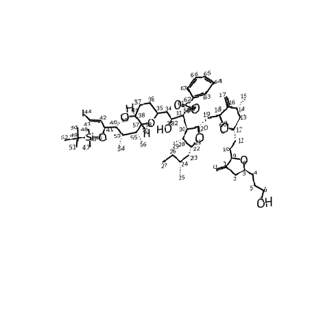 C=C1C[C@H](CCCO)OC1CC[C@H]1C[C@@H](C)C(=C)C(C[C@@H]2O[C@H](C[C@H](C)CC)[C@H](C)[C@H]2C(C(O)CC2CC[C@@H]3O[C@@H]([C@H](/C=C/I)O[Si](C)(C)C(C)(C)C)[C@@H](C)[C@@H](C)[C@H]3O2)S(=O)(=O)c2ccccc2)O1